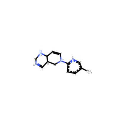 Cc1ccc(N2C=CC3NCN=CC3C2)nc1